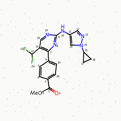 COC(=O)c1ccc(-c2nc(Nc3cnn(C4CC4)c3)ncc2C(F)F)cc1